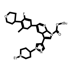 CCN1CCC(n2cc(C3=CN(C(=O)OC(C)(C)C)C4N=CC(C5C=C(F)C(C6CCOCC6)=C(C)C5)=CC34)cn2)CC1